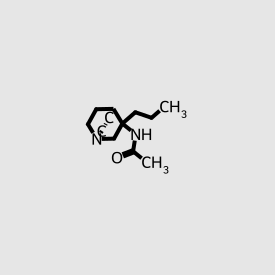 CCCC1(NC(C)=O)CN2CCC1CC2